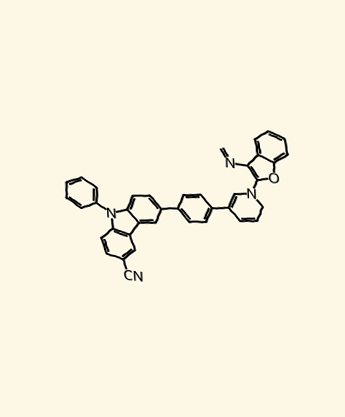 C=Nc1c(N2C=C(c3ccc(-c4ccc5c(c4)c4cc(C#N)ccc4n5-c4ccccc4)cc3)C=CC2)oc2ccccc12